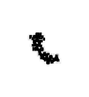 O=C(Cc1ccc(S(=O)(=O)CC2CC2)cc1)Nc1ccc(C(O)(C(F)(F)F)C(F)(F)F)nc1